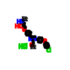 CCNC[C@H](O)COc1ccc(-c2cn(-c3ccc(Oc4ccc(Cl)cc4)cc3)c(COCC)n2)cc1.Cl.Cl